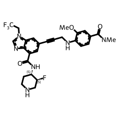 CNC(=O)c1ccc(NCC#Cc2cc(C(=O)N[C@H]3CCNC[C@@H]3F)c3ncn(CC(F)(F)F)c3c2)c(OC)c1